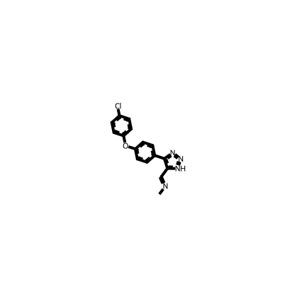 C/N=C/c1[nH]nnc1-c1ccc(Oc2ccc(Cl)cc2)cc1